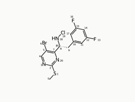 CSc1ncc(Br)c([C@@H](Cc2cc(F)cc(F)c2)NCl)n1